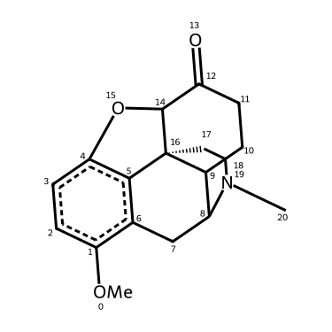 COc1ccc2c3c1CC1C4CCC(=O)C(O2)[C@]34CCN1C